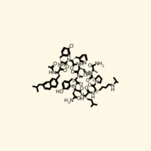 CC(=O)N[C@H](Cc1ccc2ccc(CC(C)C)cc2c1)C(=O)N[C@H](Cc1ccc(Cl)cc1)C(=O)N[C@H](Cc1cccnc1)C(=O)N[C@@H](CO)C(=O)N(C)[C@@H](Cc1ccc(O)cc1)C(=O)N[C@H](CC(N)=O)C(=O)N[C@@H](CCC(C)C)C(=O)N[C@@H](CCCCNC(C)C)C(=O)N1CCC[C@H]1C(=O)N[C@H](C)C(N)=O